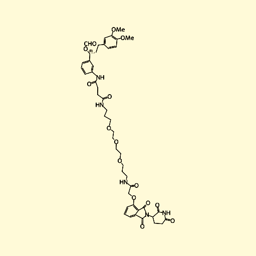 COc1ccc(CC[C@@H](OC=O)c2cccc(NC(=O)CCC(=O)NCCCOCCOCCOCCCNC(=O)COc3cccc4c3C(=O)N(C3CCC(=O)NC3=O)C4=O)c2)cc1OC